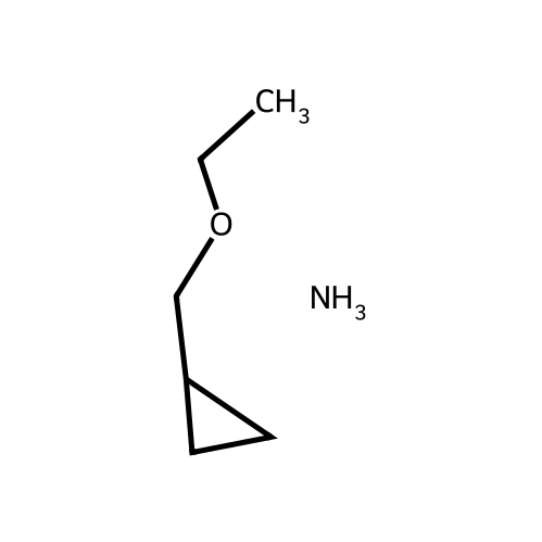 CCOCC1CC1.N